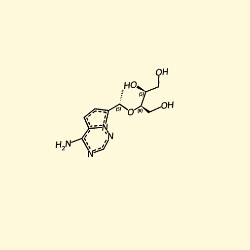 C[C@H](O[C@H](CO)[C@@H](O)CO)c1ccc2c(N)ncnn12